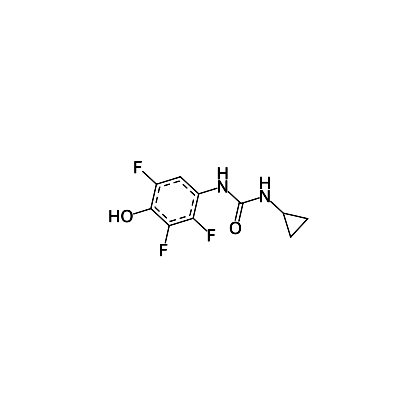 O=C(Nc1cc(F)c(O)c(F)c1F)NC1CC1